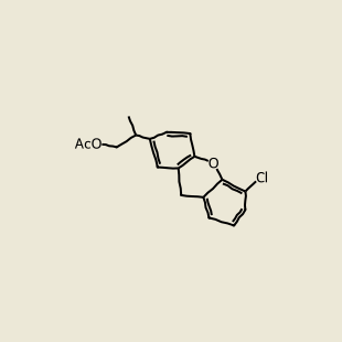 CC(=O)OCC(C)c1ccc2c(c1)Cc1cccc(Cl)c1O2